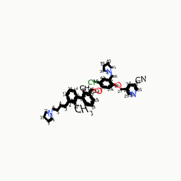 Cc1c(CCCCN2CCCC2)cccc1-c1cccc(COc2cc(OCc3cncc(C#N)c3)c(CN3CCCC3)cc2Cl)c1C